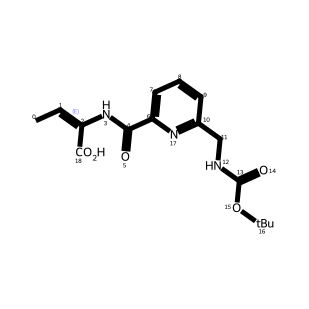 C/C=C(/NC(=O)c1cccc(CNC(=O)OC(C)(C)C)n1)C(=O)O